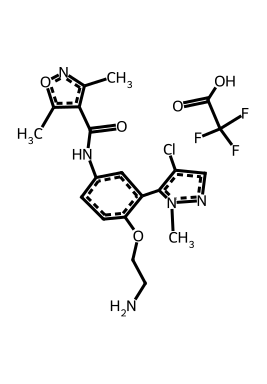 Cc1noc(C)c1C(=O)Nc1ccc(OCCN)c(-c2c(Cl)cnn2C)c1.O=C(O)C(F)(F)F